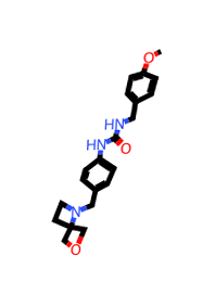 COc1ccc(CNC(=O)Nc2ccc(CN3CCC34COC4)cc2)cc1